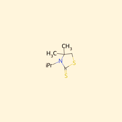 CC(C)N1C(=S)SCC1(C)C